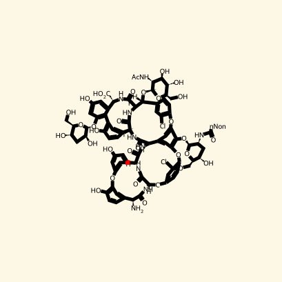 CCCCCCCCCC(=O)N[C@@H]1C[C@H](O)[C@@H](CO)O[C@H]1Oc1c2cc3cc1Oc1ccc(cc1Cl)[C@@H](O[C@@H]1O[C@H](CO)[C@@H](O)[C@H](O)[C@H]1NC(C)=O)[C@@H]1NC(=O)[C@H](NC(=O)[C@@H]3NC(=O)[C@H]3NC(=O)[C@@H](Cc4ccc(c(Cl)c4)O2)NC(=O)[C@H](N)c2ccc(O)c(c2)Oc2cc(O)cc3c2)c2ccc(O)c(c2)-c2c(O[C@H]3O[C@H](CO)[C@@H](O)C[C@@H]3O)cc(O)cc2[C@H](C(=O)O)NC1=O